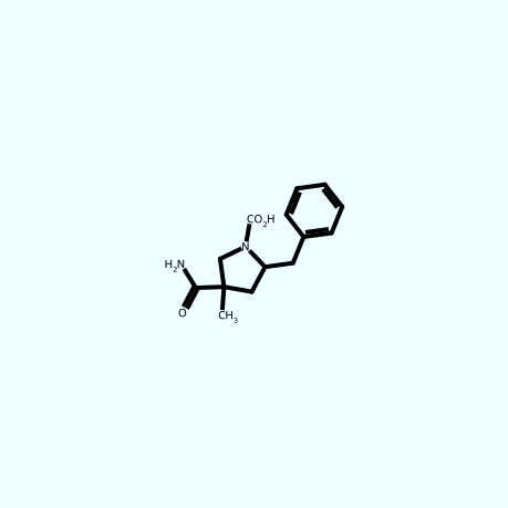 CC1(C(N)=O)CC(Cc2ccccc2)N(C(=O)O)C1